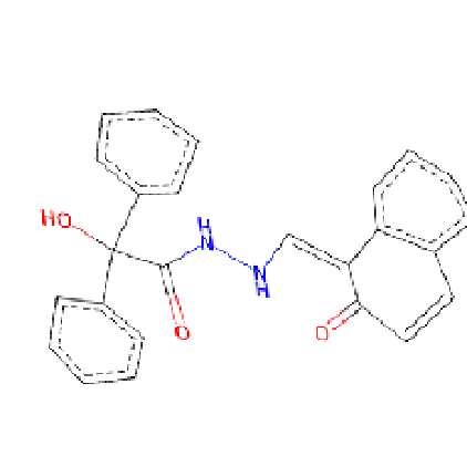 O=C1C=Cc2ccccc2/C1=C/NNC(=O)C(O)(c1ccccc1)c1ccccc1